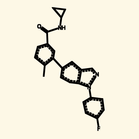 Cc1ccc(C(=O)NC2CC2)cc1-c1ccc2c(cnn2-c2ccc(F)cc2)c1